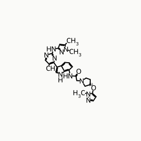 Cc1cnc(Nc2cc(C)n(C)n2)nc1-c1c[nH]c2c(NC(=O)CN3CC[C@H](Oc4ccnn4C)C3)cccc12